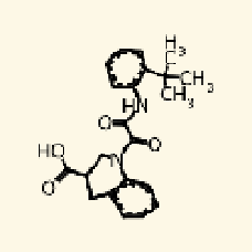 CC(C)(C)c1ccccc1NC(=O)C(=O)N1CC(C(=O)O)Cc2ccccc21